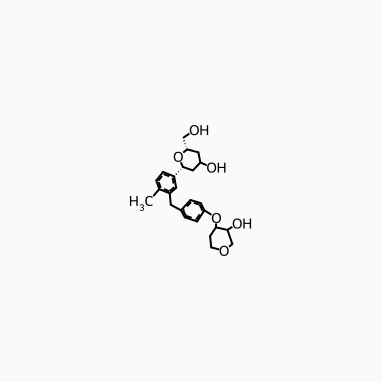 Cc1ccc([C@H]2CC(O)C[C@@H](CO)O2)cc1Cc1ccc(OC2CCOCC2O)cc1